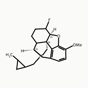 COc1ccc2c3c1O[C@@H]1C(F)CCC4[C@H](C2)N(CC2CC2C)CC[C@]341